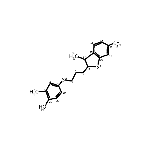 Cc1cc(SCCCC2Sc3cc(C(F)(F)F)ccc3C2C)ccc1O